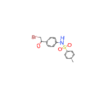 Cc1ccc(S(=O)(=O)Nc2ccc(C(=O)CBr)cc2)cc1